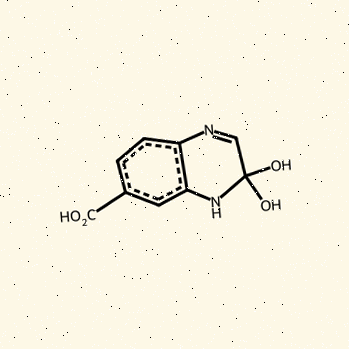 O=C(O)c1ccc2c(c1)NC(O)(O)C=N2